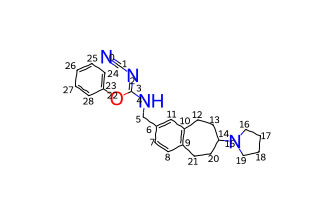 N#C/N=C(/NCc1ccc2c(c1)CCC(N1CCCC1)CC2)Oc1ccccc1